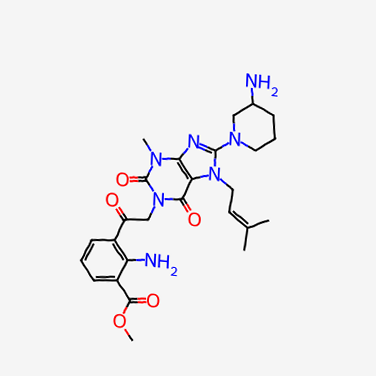 COC(=O)c1cccc(C(=O)Cn2c(=O)c3c(nc(N4CCCC(N)C4)n3CC=C(C)C)n(C)c2=O)c1N